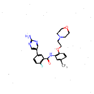 Nc1ncc(-c2ccc(F)c(C(=O)Nc3cc(C(F)(F)F)ccc3OCCN3CCOCC3)c2)cn1